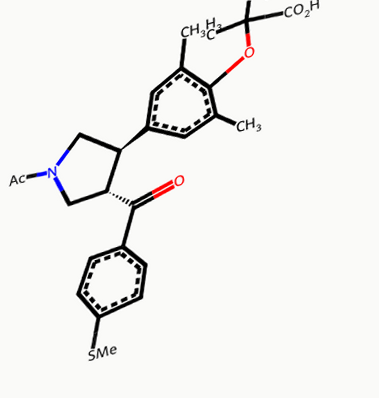 CSc1ccc(C(=O)[C@@H]2CN(C(C)=O)C[C@H]2c2cc(C)c(OC(C)(C)C(=O)O)c(C)c2)cc1